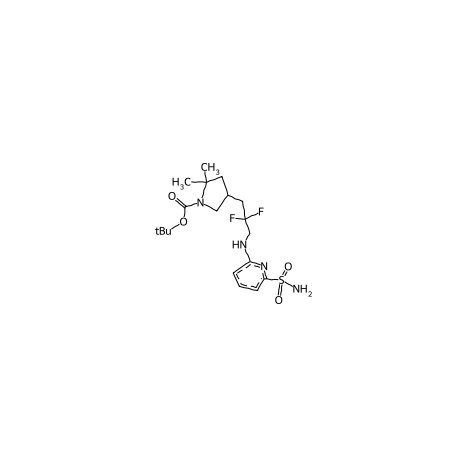 CC(C)(C)OC(=O)N1CC(CC(F)(F)CNc2cccc(S(N)(=O)=O)n2)CC1(C)C